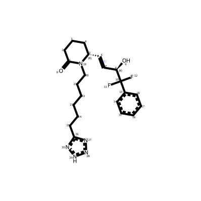 O=C1CCC[C@H](/C=C/[C@@H](O)C(F)(F)c2ccccc2)N1CCCCCCc1nn[nH]n1